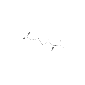 CN(C)C(=S)SCCCS(C)(=O)=O